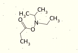 CCC(=O)ON(CC)C(C)C